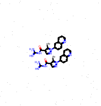 CC(C)c1c(C(=O)NC(=N)N)cnn1-c1ccc2ncccc2c1.CCCc1c(C(=O)NC(=N)N)cnn1-c1ccc2ncccc2c1